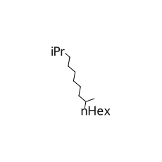 [CH2]C(C)CCCCCCC(C)CCCCCC